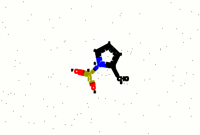 O=Cc1cccn1[SH](=O)=O